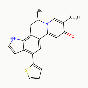 CC(C)(C)[C@@H]1Cc2c(cc(-c3cccs3)c3cc[nH]c23)-c2cc(=O)c(C(=O)O)cn21